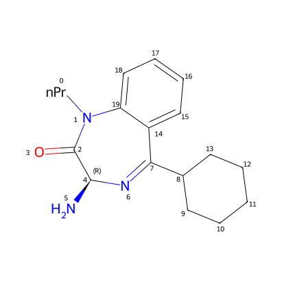 CCCN1C(=O)[C@H](N)N=C(C2CCCCC2)c2ccccc21